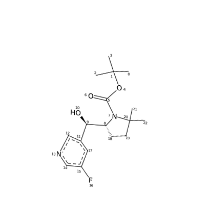 CC(C)(C)OC(=O)N1[C@@H]([C@H](O)c2cncc(F)c2)CCC1(C)C